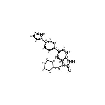 O=c1[nH]c2ncc(-c3ccc(-n4ccnn4)cc3)nc2n1CC1CCCCC1